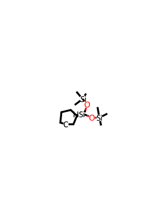 C[Si](C)(C)O[SiH](O[Si](C)(C)C)C1CCCCC1